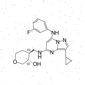 O[C@@H]1COCC[C@H]1CNc1cc(Nc2cccc(F)c2)n2ncc(C3CC3)c2n1